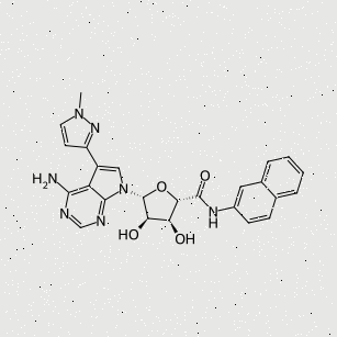 Cn1ccc(-c2cn([C@@H]3O[C@H](C(=O)Nc4ccc5ccccc5c4)[C@@H](O)[C@H]3O)c3ncnc(N)c23)n1